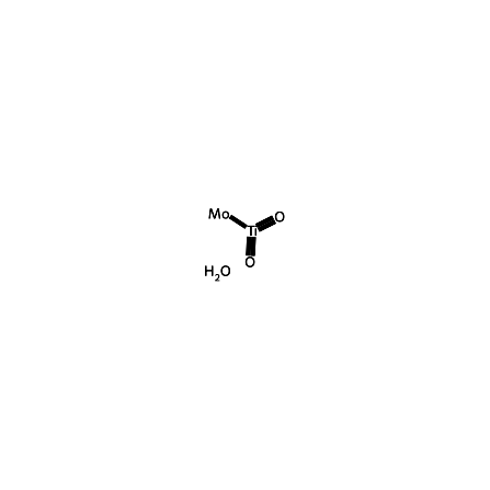 O.[O]=[Ti](=[O])[Mo]